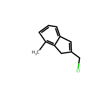 Cc1cccc2c1CC(CCl)=C2